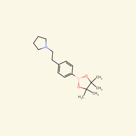 CC1(C)OB(c2ccc(CCN3CCCC3)cc2)OC1(C)C